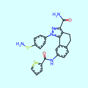 NSc1ccc(-n2nc(C(N)=O)c3c2-c2cc(NC(=O)c4cccs4)ccc2CC3)cc1